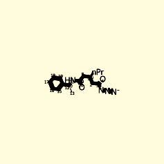 CCC[C@@H](CC(=O)N=[N+]=[N-])CC(=O)N[C@H](C)c1ccccc1